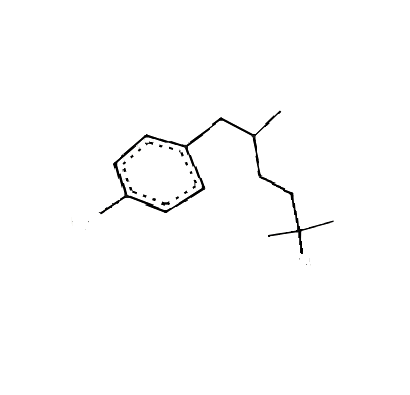 CC(CCC(C)(N)C(=O)O)Cc1ccc(C(F)(F)F)cc1